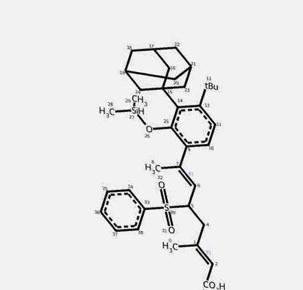 C/C(=C\C(=O)O)CC(/C=C(\C)c1ccc(C(C)(C)C)c(C23CC4CC(CC(C4)C2)C3)c1O[SiH](C)C)S(=O)(=O)c1ccccc1